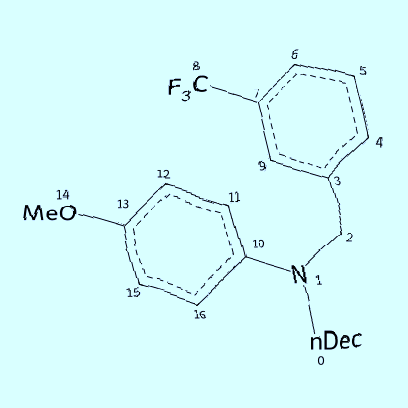 CCCCCCCCCCN(Cc1cccc(C(F)(F)F)c1)c1ccc(OC)cc1